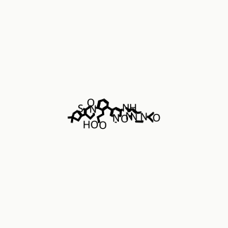 Cn1cc(-c2cccc(N3CCc4c(sc5c4CC(C)(C)C5)C3=O)c2CCC(=O)O)cc(Nc2cc3n(n2)CCN(C2COC2)C3)c1=O